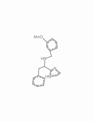 COc1cccc(CNC(Cc2ccccc2)c2ncc[nH]2)c1